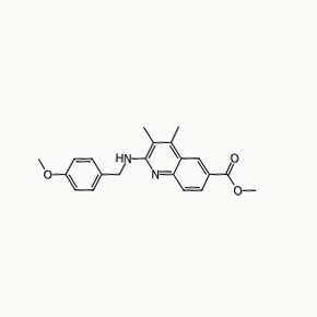 COC(=O)c1ccc2nc(NCc3ccc(OC)cc3)c(C)c(C)c2c1